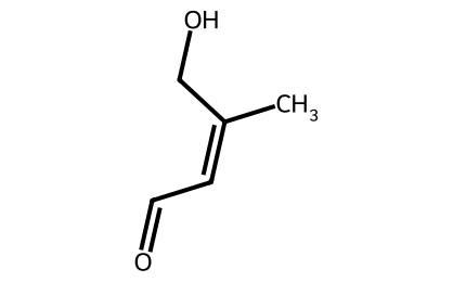 C/C(=C/C=O)CO